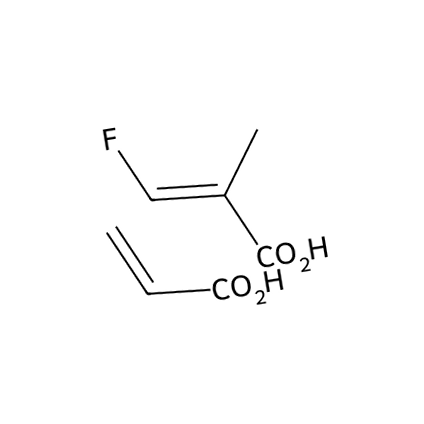 C=CC(=O)O.CC(=CF)C(=O)O